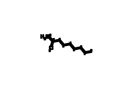 CCCCCCCC([SiH3])Cl